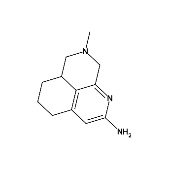 CN1Cc2nc(N)cc3c2C(CCC3)C1